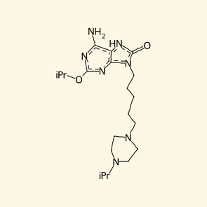 CC(C)Oc1nc(N)c2[nH]c(=O)n(CCCCCN3CCN(C(C)C)CC3)c2n1